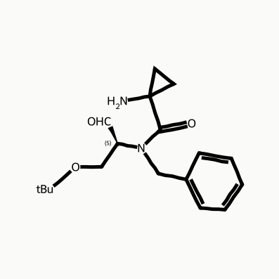 CC(C)(C)OC[C@@H](C=O)N(Cc1ccccc1)C(=O)C1(N)CC1